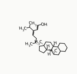 CC(C)C(C=CO)=CCC(C)[C@H]1CC[C@H]2[C@@H]3CCC4CCCC[C@]4(C)[C@H]3CC[C@]12C